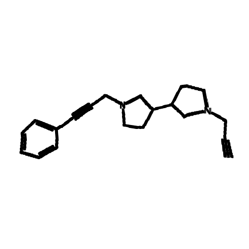 C#CCN1CCC(C2CCN(CC#Cc3ccccc3)C2)C1